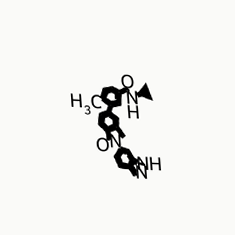 Cc1ccc(C(=O)NC2CC2)cc1-c1ccc2c(c1)CN(c1ccc3cn[nH]c3c1)C2=O